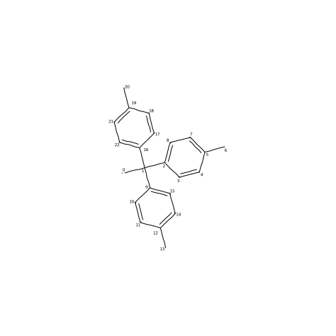 [CH2]C(c1ccc(C)cc1)(c1ccc(C)cc1)c1ccc(C)cc1